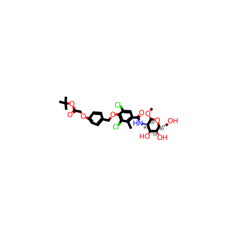 CO[C@H]1O[C@H](CO)[C@@H](O)[C@H](O)[C@H]1NC(=O)c1cc(Cl)c(OCc2ccc(OCC(=O)OC(C)(C)C)cc2)c(Cl)c1C